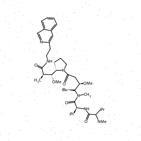 CC[C@H](C)C([C@@H](CC(=O)N1CCC[C@H]1[C@H](OC)[C@@H](C)C(=O)NCCc1cc2ccccc2cn1)OC)N(C)C(=O)[C@@H](NC(=O)C(NC)C(C)C)C(C)C